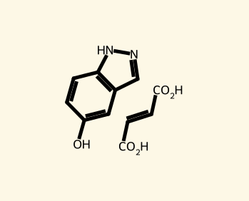 O=C(O)/C=C/C(=O)O.Oc1ccc2[nH]ncc2c1